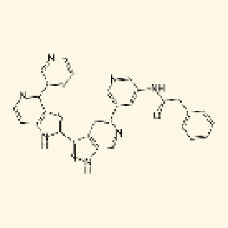 O=C(Cc1ccccc1)Nc1cncc(-c2cc3c(-c4nc5c(-c6cccnc6)nccc5[nH]4)n[nH]c3cn2)c1